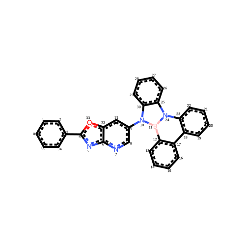 c1ccc(-c2nc3ncc(N4B5c6ccccc6-c6ccccc6N5c5ccccc54)cc3o2)cc1